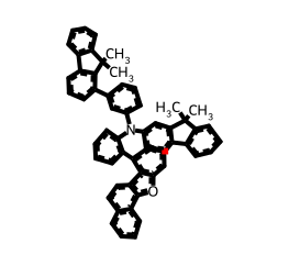 CC1(C)c2ccccc2-c2ccc(N(c3cccc(-c4cccc5c4C(C)(C)c4ccccc4-5)c3)c3ccccc3-c3cccc4oc5c6ccccc6ccc5c34)cc21